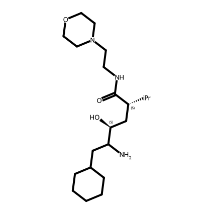 CC(C)[C@H](C[C@H](O)C(N)CC1CCCCC1)C(=O)NCCN1CCOCC1